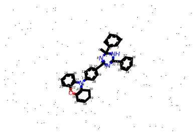 CC1(c2ccccc2)N=C(c2ccc(N3C4=C(C=CCC4)Oc4ccccc43)cc2)N=C(c2ccccc2)N1